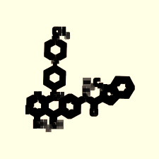 CN1CCN([C@H]2CC[C@H](Nc3ncnc(N)c3C(=N)c3ccc(NC(=O)c4cc5ccccc5n4C)cc3)CC2)CC1